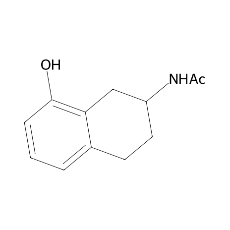 CC(=O)NC1CCc2cccc(O)c2C1